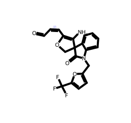 NC1=C(/C=C\C=O)OCC12C(=O)N(Cc1ccc(C(F)(F)F)o1)c1ccccc12